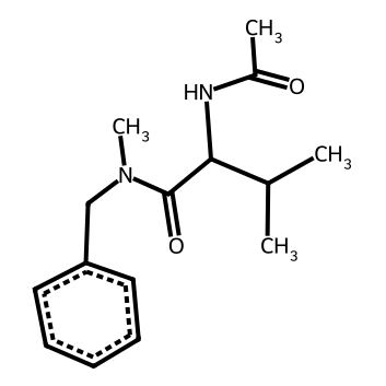 CC(=O)NC(C(=O)N(C)Cc1ccccc1)C(C)C